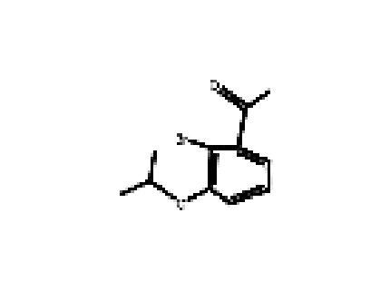 CC(=O)c1cccc(OC(C)C)c1Br